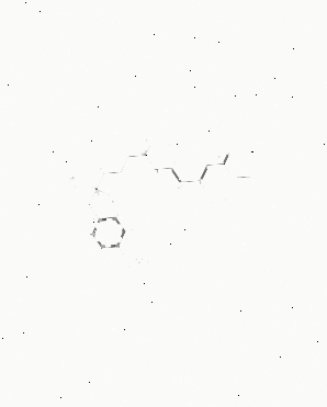 COc1ccc(CC(C)(C)CCCC(C)CC=CC(C)=CC(=O)OC(C)C)cc1